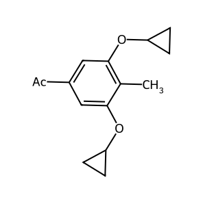 CC(=O)c1cc(OC2CC2)c(C)c(OC2CC2)c1